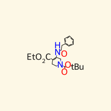 CCOC(=O)C1=C(NC(=O)Cc2ccccc2)CN(C(=O)OC(C)(C)C)CC1